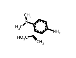 C=CC(=O)O.CN(C)c1ccc(N)cc1